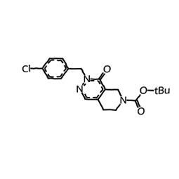 CC(C)(C)OC(=O)N1CCc2cnn(Cc3ccc(Cl)cc3)c(=O)c2C1